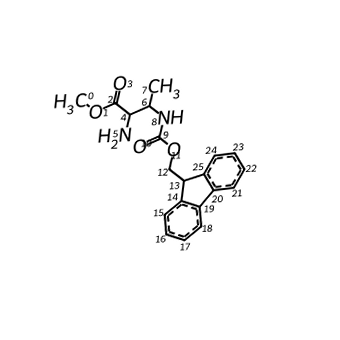 COC(=O)C(N)C(C)NC(=O)OCC1c2ccccc2-c2ccccc21